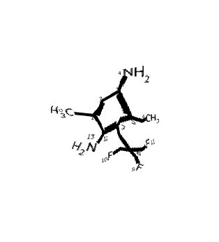 Cc1cc(N)c(C)c(C(F)(F)F)c1N